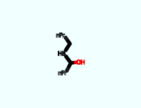 CCCCBC(O)CCC